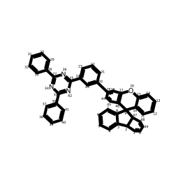 C1=CC2c3ccccc3C3(c4ccccc4Oc4cc(-c5cccc(-c6nc(-c7ccccc7)nc(-c7ccccc7)n6)c5)ccc43)C2C=C1